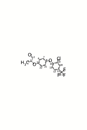 CC(C=O)Oc1ccc(Oc2ccc(C(F)(F)F)cc2Cl)cc1